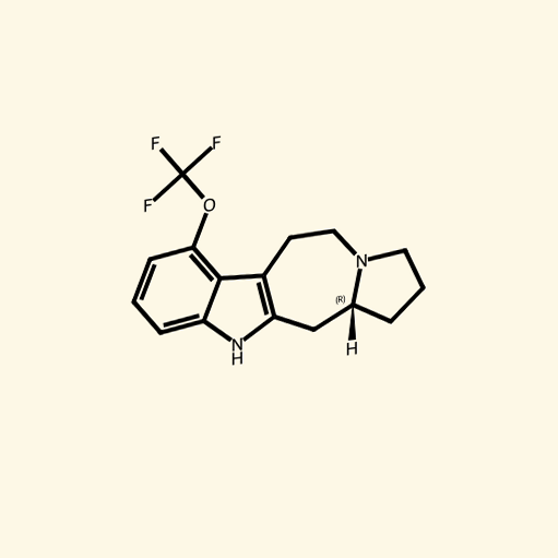 FC(F)(F)Oc1cccc2[nH]c3c(c12)CCN1CCC[C@@H]1C3